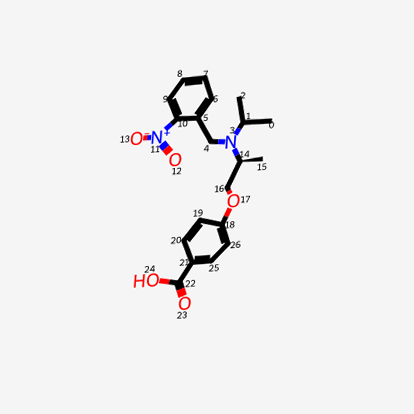 CC(C)N(Cc1ccccc1[N+](=O)[O-])[C@@H](C)COc1ccc(C(=O)O)cc1